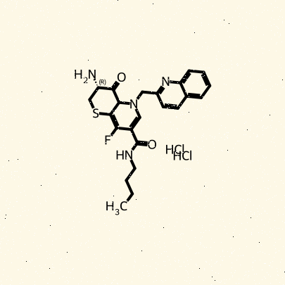 CCCCNC(=O)C1=CN(Cc2ccc3ccccc3n2)C2C(=O)[C@@H](N)CSC2=C1F.Cl.Cl